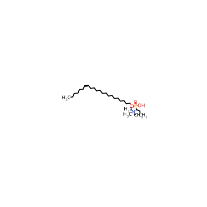 CCCCCC/C=C\CCCCCCCCCCCCCCOP(=O)(O)C(CC)[N+](C)(C)C